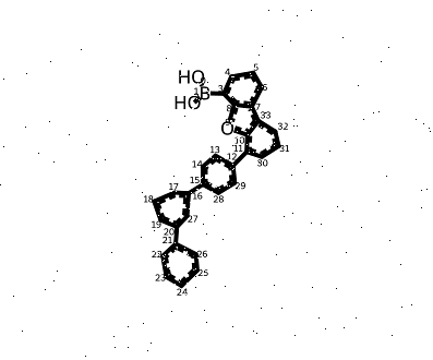 OB(O)c1cccc2c1oc1c(-c3ccc(-c4cccc(-c5ccccc5)c4)cc3)cccc12